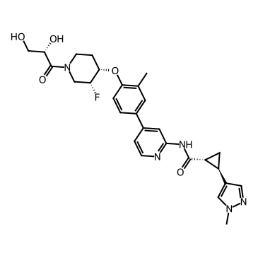 Cc1cc(-c2ccnc(NC(=O)[C@@H]3C[C@H]3c3cnn(C)c3)c2)ccc1O[C@H]1CCN(C(=O)[C@@H](O)CO)C[C@H]1F